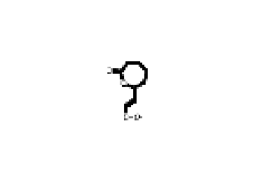 O=[C]C=CC1CCCCC(=O)O1